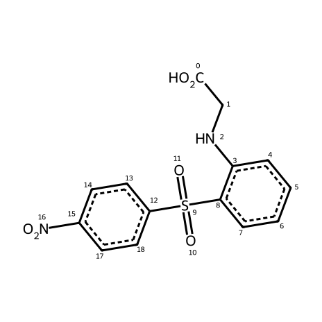 O=C(O)CNc1ccccc1S(=O)(=O)c1ccc([N+](=O)[O-])cc1